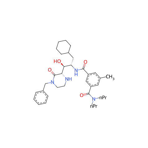 CCCN(CCC)C(=O)c1cc(C)cc(C(=O)N[C@@H](CC2CCCCC2)[C@H](O)[C@@H]2NCCN(Cc3ccccc3)C2=O)c1